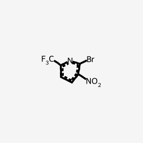 O=[N+]([O-])c1ccc(C(F)(F)F)nc1Br